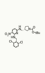 CC(C)(C)OC(=O)N1CC[C@@H](CNc2ccc([N+](=O)[O-])c(NCc3c(Cl)cccc3Cl)n2)C1